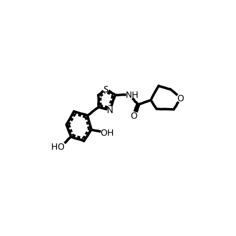 O=C(Nc1nc(-c2ccc(O)cc2O)cs1)C1CCOCC1